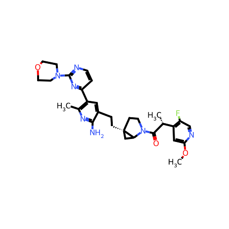 COc1cc([C@@H](C)C(=O)N2CC[C@]3(CCc4cc(-c5ccnc(N6CCOCC6)n5)c(C)nc4N)CC23)c(F)cn1